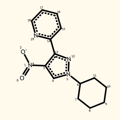 O=[N+]([O-])c1cn(C2CCCCC2)nc1-c1ccccn1